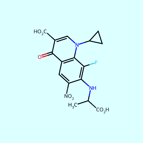 CC(Nc1c([N+](=O)[O-])cc2c(=O)c(C(=O)O)cn(C3CC3)c2c1F)C(=O)O